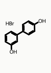 Br.Oc1ccc(-c2cccc(O)c2)cc1